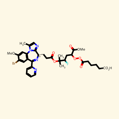 COC(=O)C(CC(F)C(C)(C)OC(=O)CC[C@@H]1N=C(c2ccccn2)c2cc(Br)c(OC)cc2-n2c(C)cnc21)OOC(=O)CCCCC(=O)O